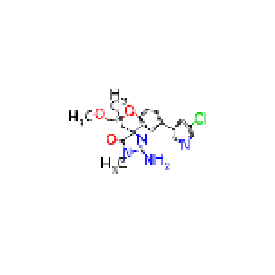 COC[C@@]1(C)CC2(N=C(N)N(C)C2=O)c2cc(-c3cncc(Cl)c3)ccc2O1